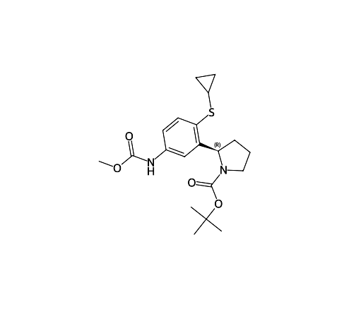 COC(=O)Nc1ccc(SC2CC2)c([C@H]2CCCN2C(=O)OC(C)(C)C)c1